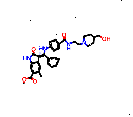 COC(=O)c1cc2c(cc1C)/C(=C(/Nc1ccc(C(=O)NCCN3CCC(CO)CC3)cc1)c1ccccc1)C(=O)N2